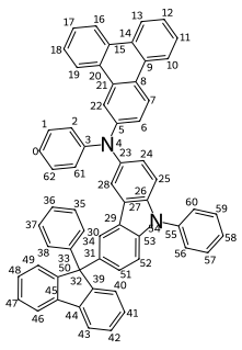 c1ccc(N(c2ccc3c4ccccc4c4ccccc4c3c2)c2ccc3c(c2)c2cc(C4(c5ccccc5)c5ccccc5-c5ccccc54)ccc2n3-c2ccccc2)cc1